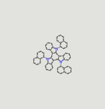 c1ccc2c(-n3c4ccccc4c4c3c3c5ccccc5n(-c5cccc6ccccc56)c3c3c5ccccc5n(-c5cccc6ccccc56)c43)cccc2c1